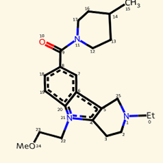 CCN1CCc2c(c3cc(C(=O)N4CCC(C)CC4)ccc3n2CCOC)C1